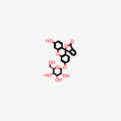 O=C1OC2(c3ccc(O)cc3Oc3cc(O[C@H]4O[C@H](CO)[C@H](O)[C@H](O)[C@H]4O)ccc32)c2ccccc21